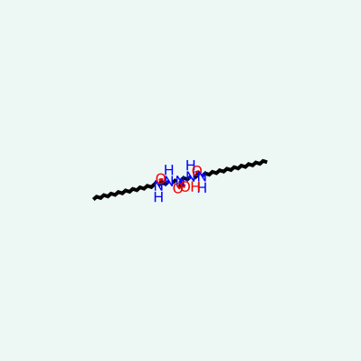 CCCCCCCCCCCCCCCCCCNC(=O)CNCCN(CCNCC(=O)NCCCCCCCCCCCCCCCCCC)C(=O)O